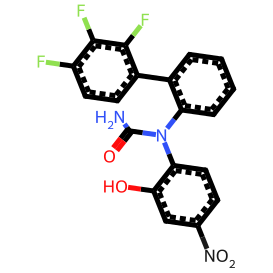 NC(=O)N(c1ccc([N+](=O)[O-])cc1O)c1ccccc1-c1ccc(F)c(F)c1F